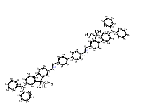 CC1(C)c2cc(/C=C/c3ccc(-c4ccc(/C=C/c5ccc6c(c5)C(C)(C)c5cc(N(c7ccccn7)c7ccccn7)ccc5-6)cc4)cc3)ccc2-c2ccc(N(c3ccccn3)c3ccccn3)cc21